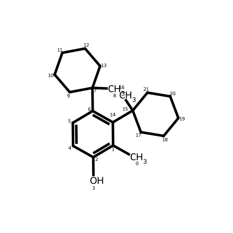 Cc1c(O)ccc(C2(C)CCCCC2)c1C1(C)CCCCC1